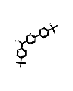 CC(C)(C)c1ccc(C(O)c2ccc(-c3ccc(C(F)(F)F)cc3)nc2)cc1